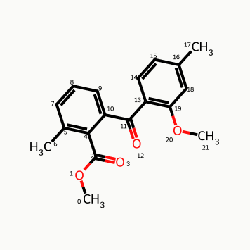 COC(=O)c1c(C)cccc1C(=O)c1ccc(C)cc1OC